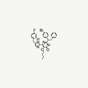 CCCCOc1c(-c2ncc(Cc3ccc(F)cc3)[nH]2)nc(C(Cc2ccccc2)c2ccc(Br)cc2)n(C)c1=O